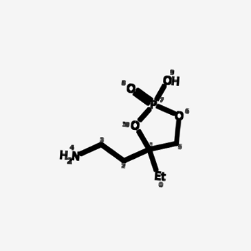 CCC1(CCN)COP(=O)(O)O1